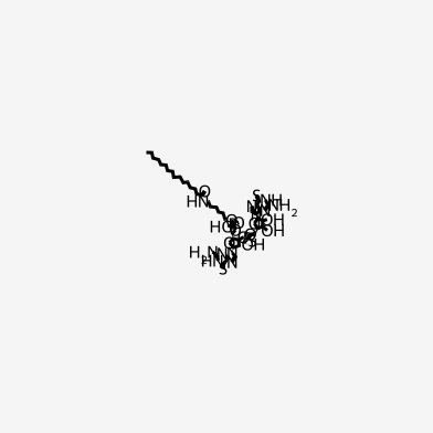 CCCCCCCCCCCCCCCC(=O)NCCCCCCOP(=O)(O)OC[C@H]1O[C@@H](n2cnc3c(=S)[nH]c(N)nc32)CC1OP(O)(=S)OC[C@H]1O[C@@H](n2cnc3c(=S)[nH]c(N)nc32)C(O)C1O